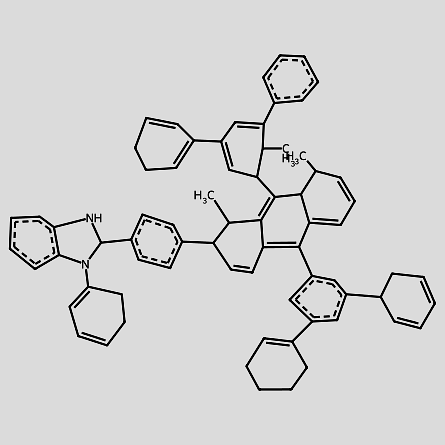 CC1C=CC=C2C(c3cc(C4=CCCCC4)cc(C4C=CC=CC4)c3)=C3C=CC(c4ccc(C5Nc6ccccc6N5C5=CC=CCC5)cc4)C(C)C3=C(C3C=C(C4=CCCC=C4)C=C(c4ccccc4)C3C)C21